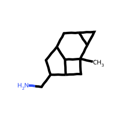 CC12CC3C(CN)CC(CC4CC41)C32